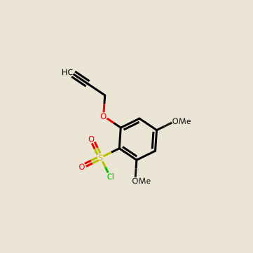 C#CCOc1cc(OC)cc(OC)c1S(=O)(=O)Cl